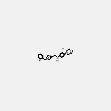 Cc1ccccc1CN1CC2C(CNc3ccc(N4CCOCC4)c(F)c3)C2C1